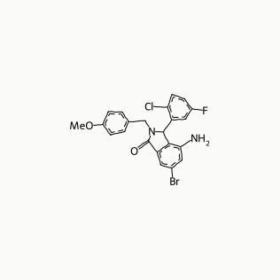 COc1ccc(CN2C(=O)c3cc(Br)cc(N)c3C2c2cc(F)ccc2Cl)cc1